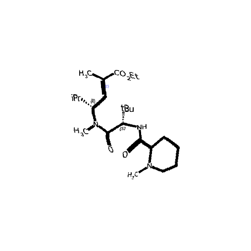 CCOC(=O)/C(C)=C/[C@@H](C(C)C)N(C)C(=O)[C@@H](NC(=O)C1CCCCN1C)C(C)(C)C